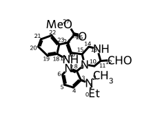 CCN(C)c1cccnc1N1CC(C=O)NCC1c1[nH]c2ccccc2c1C(=O)OC